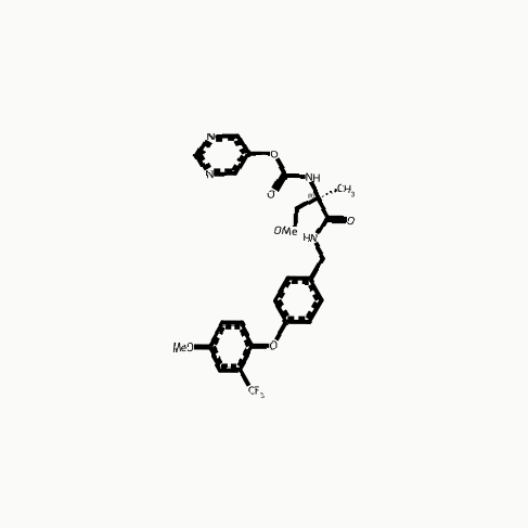 COC[C@@](C)(NC(=O)Oc1cncnc1)C(=O)NCc1ccc(Oc2ccc(OC)cc2C(F)(F)F)cc1